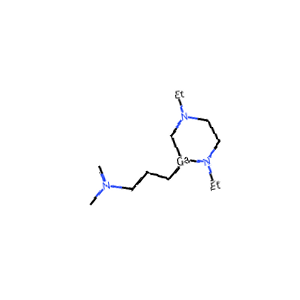 CCN1CC[N](CC)[Ga]([CH2]CCN(C)C)[CH2]1